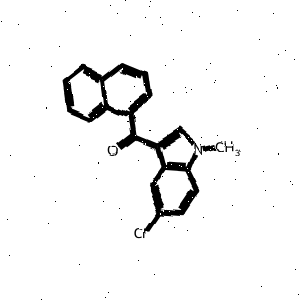 Cn1cc(C(=O)c2cccc3ccccc23)c2cc(Cl)ccc21